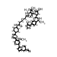 CNc1cc(-c2ccc3cc(C#N)cnn23)ncc1-c1nnc(C2CCC(NC(=O)CCOCCC(=O)N[C@H](C(=O)N3C[C@H](O)C[C@H]3C(=O)N[C@@H](C)c3ccc(-c4scnc4C)cc3)C(C)(C)C)CC2)s1